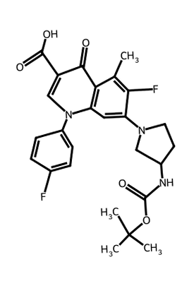 Cc1c(F)c(N2CCC(NC(=O)OC(C)(C)C)C2)cc2c1c(=O)c(C(=O)O)cn2-c1ccc(F)cc1